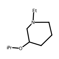 CCN1CCCC(OC(C)C)C1